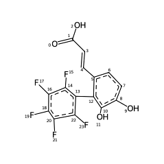 O=C(O)C=Cc1ccc(O)c(O)c1-c1c(F)c(F)c(F)c(F)c1F